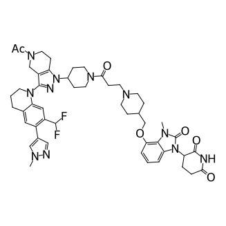 CC(=O)N1CCc2c(c(N3CCCc4cc(-c5cnn(C)c5)c(C(F)F)cc43)nn2C2CCN(C(=O)CCN3CCC(COc4cccc5c4n(C)c(=O)n5C4CCC(=O)NC4=O)CC3)CC2)C1